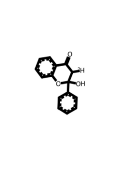 [2H]C1C(=O)c2ccccc2OC1(O)c1ccccc1